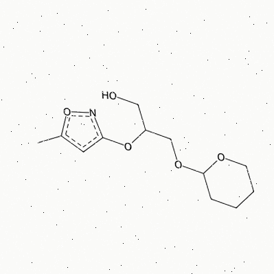 Cc1cc(OC(CO)COC2CCCCO2)no1